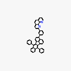 c1ccc(-c2c3c(c(-c4ccccc4)c4ccccc24)-c2ccc(-c4cccc(-c5ccc6ccc7cccnc7c6n5)c4)c4cccc-3c24)cc1